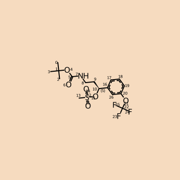 CC(C)(C)OC(=O)NCC[C@H](OS(C)(=O)=O)c1cccc(OC(F)(F)F)c1